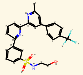 Cc1cc(-c2ccc(C(F)(F)F)cc2)cc(-c2cccc(-c3cccc(S(=O)(=O)NCCO)c3)n2)n1